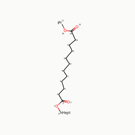 CCCCCCCOC(=O)CCCCCCCCCCC(=O)OC(C)C